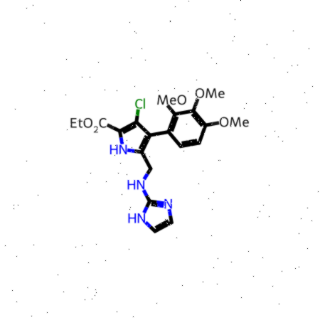 CCOC(=O)c1[nH]c(CNc2ncc[nH]2)c(-c2ccc(OC)c(OC)c2OC)c1Cl